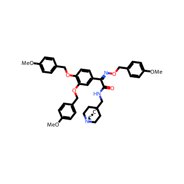 COc1ccc(CO/N=C(\C(=O)NCC23CCN(CC2)CC3)c2ccc(OCc3ccc(OC)cc3)c(OCc3ccc(OC)cc3)c2)cc1